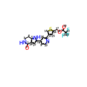 O=C1NCCc2[nH]c(-c3ccnc(-c4csc(COC(=O)C(F)(F)F)c4)c3)cc21